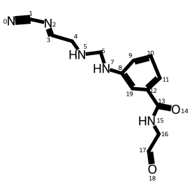 N#CN=CCNCNc1cccc(C(=O)N[CH]C=O)c1